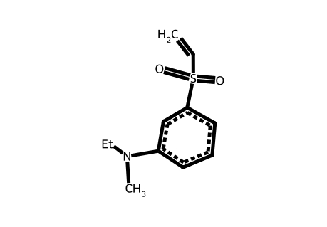 C=CS(=O)(=O)c1cccc(N(C)CC)c1